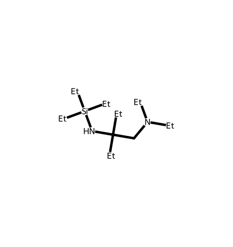 CCN(CC)CC(CC)(CC)N[Si](CC)(CC)CC